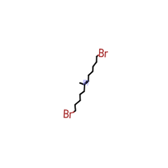 C/C(=C\CCCCCBr)CCCCCBr